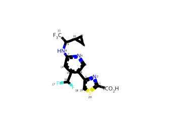 O=C(O)c1nc(-c2cnc(NC(C3CC3)C(F)(F)F)cc2C(F)F)cs1